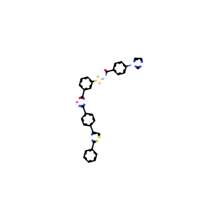 O=C(NS(=O)(=O)c1cccc(-c2nc(-c3ccc(-c4csc(-c5ccccc5)n4)cc3)no2)c1)c1ccc(-n2ccnc2)cc1